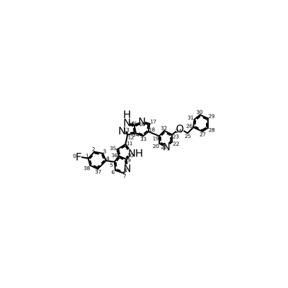 Fc1ccc(-c2ccnc3[nH]c(-c4n[nH]c5ncc(-c6cncc(OCc7ccccc7)c6)cc45)cc23)cc1